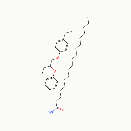 CCCCCCCCCCCCCCCCCC(N)=O.CCc1ccc(OCC(CC)Oc2ccccc2)cc1